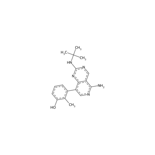 Cc1c(O)cccc1-c1cnc(N)c2cnc(NC(C)(C)C)nc12